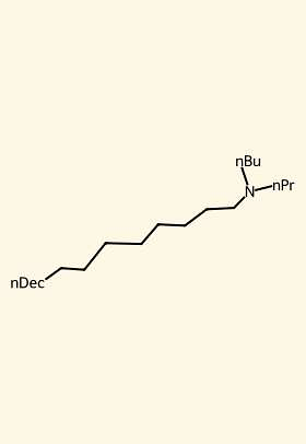 CCCCCCCCCCCCCCCCCCN(CCC)CCCC